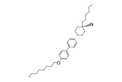 CCCCCCCCOc1ccc(-c2ccc([C@H]3CC[C@@](C#N)(CCCCCC)CC3)cc2)cc1